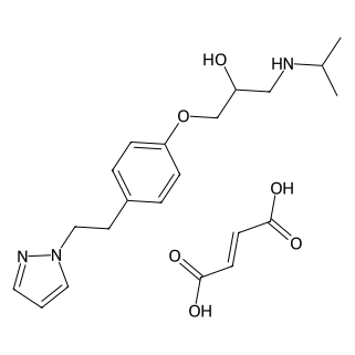 CC(C)NCC(O)COc1ccc(CCn2cccn2)cc1.O=C(O)C=CC(=O)O